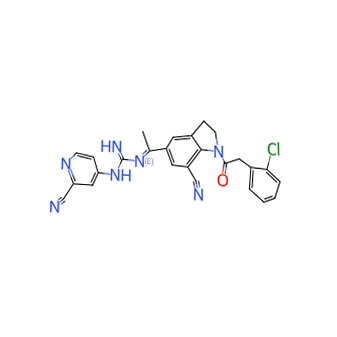 C/C(=N\C(=N)Nc1ccnc(C#N)c1)c1cc(C#N)c2c(c1)CCN2C(=O)Cc1ccccc1Cl